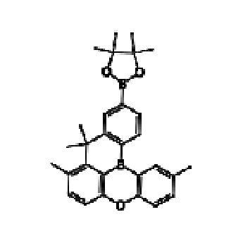 Cc1ccc2c(c1)B1c3ccc(B4OC(C)(C)C(C)(C)O4)cc3C(C)(C)c3c(C)ccc(c31)O2